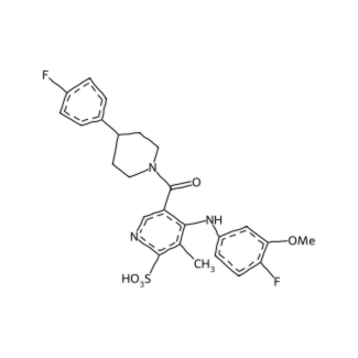 COc1cc(Nc2c(C(=O)N3CCC(c4ccc(F)cc4)CC3)cnc(S(=O)(=O)O)c2C)ccc1F